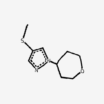 CSc1cnn(C2CCOCC2)c1